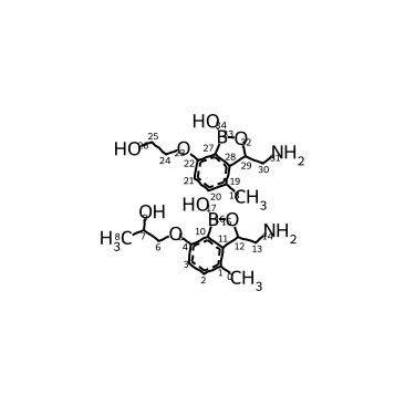 Cc1ccc(OCC(C)O)c2c1C(CN)OB2O.Cc1ccc(OCCO)c2c1C(CN)OB2O